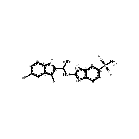 Cc1c(C(Nc2nc3ccc(S(N)(=O)=O)cc3[nH]2)C(C)C)oc2ccc(F)cc12